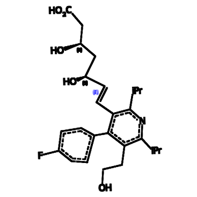 CC(C)c1nc(C(C)C)c(CCO)c(-c2ccc(F)cc2)c1/C=C/[C@@H](O)C[C@@H](O)CC(=O)O